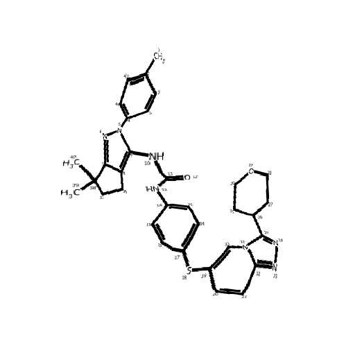 Cc1ccc(-n2nc3c(c2NC(=O)Nc2ccc(Sc4ccc5nnc(C6CCOCC6)n5c4)cc2)CCC3(C)C)cc1